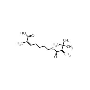 C=C(C(=O)OCCCCC=C(C)C(=O)O)C(C)(C)C